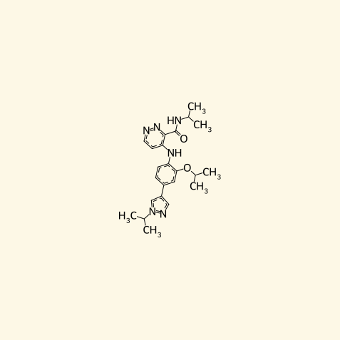 CC(C)NC(=O)c1nnccc1Nc1ccc(-c2cnn(C(C)C)c2)cc1OC(C)C